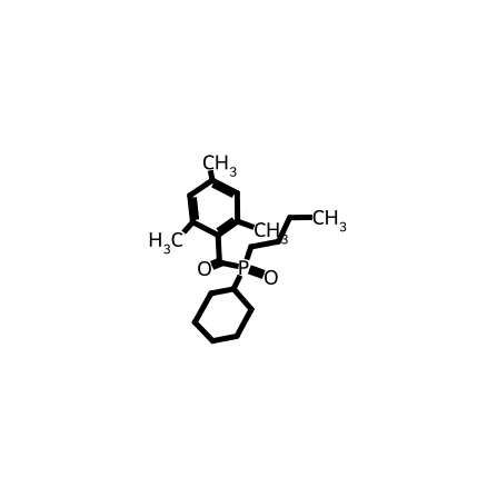 CCCCP(=O)(C(=O)c1c(C)cc(C)cc1C)C1CCCCC1